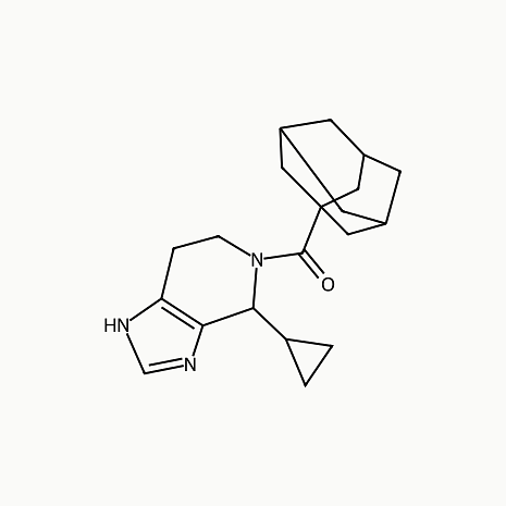 O=C(N1CCc2[nH]cnc2C1C1CC1)C12CC3CC(CC(C3)C1)C2